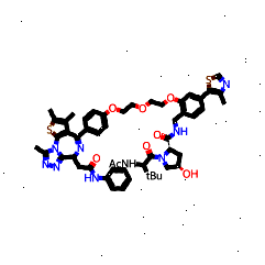 CC(=O)NC(C(=O)N1C[C@H](O)C[C@H]1C(=O)NCc1ccc(-c2scnc2C)cc1OCCOCCOc1ccc(C2=NC(CC(=O)Nc3ccccc3)c3nnc(C)n3-c3sc(C)c(C)c32)cc1)C(C)(C)C